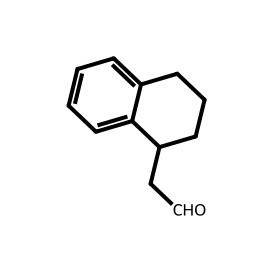 O=CCC1CCCc2ccccc21